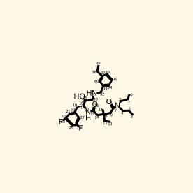 CCCN(CCC)C(=O)CC(C)(CC)CC(=O)N[C@@H](Cc1cc(F)cc(F)c1)[C@H](O)CNCc1cccc(CC)c1